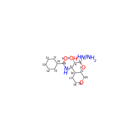 NNC(=O)C(O)C(NC(=O)C1CCCCC1)C1CCOCC1